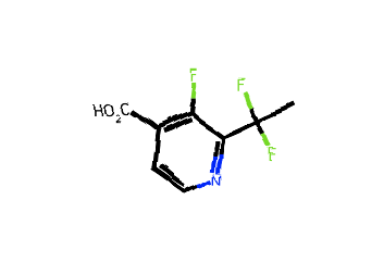 CC(F)(F)c1nccc(C(=O)O)c1F